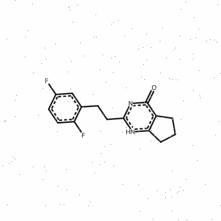 O=c1nc(CCc2cc(F)ccc2F)[nH]c2c1CCC2